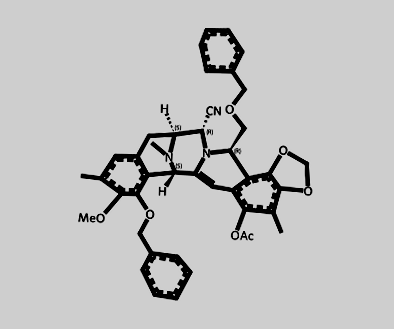 COc1c(C)cc2c(c1OCc1ccccc1)[C@H]1C3=Cc4c(OC(C)=O)c(C)c5c(c4[C@H](COCc4ccccc4)N3[C@@H](C#N)[C@H](C2)N1C)OCO5